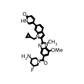 COc1cc(C(=O)N2C[C@H](N)C[C@@H](F)C2)cc2nc(-c3cc4ccc(-c5ccc(=O)[nH]c5)cc4n3CC3CC3)n(C)c12